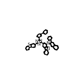 c1ccc(-c2cccc(-c3nc(-c4ccc5c(c4)sc4ccccc45)nc(-c4cc(-n5c6ccccc6c6cc7ccccc7cc65)c5oc6ccccc6c5c4)n3)c2)cc1